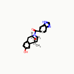 C[C@@H]1[C@H]2Cc3ccc(O)cc3[C@]1(C)CCN2C(=O)c1ccc2nc[nH]c2c1